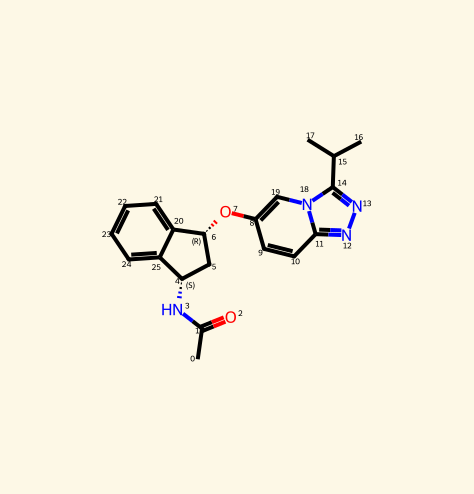 CC(=O)N[C@H]1C[C@@H](Oc2ccc3nnc(C(C)C)n3c2)c2ccccc21